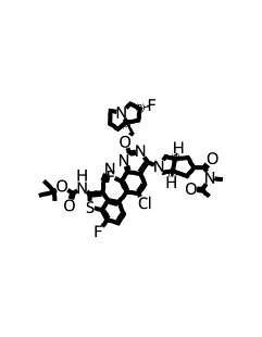 CC(=O)N(C)C(=O)C1C[C@@H]2CN(c3nc(OC[C@@]45CCCN4C[C@H](F)C5)nc4c(F)c(-c5ccc(F)c6sc(NC(=O)OC(C)(C)C)c(C#N)c56)c(Cl)cc34)C[C@@H]2C1